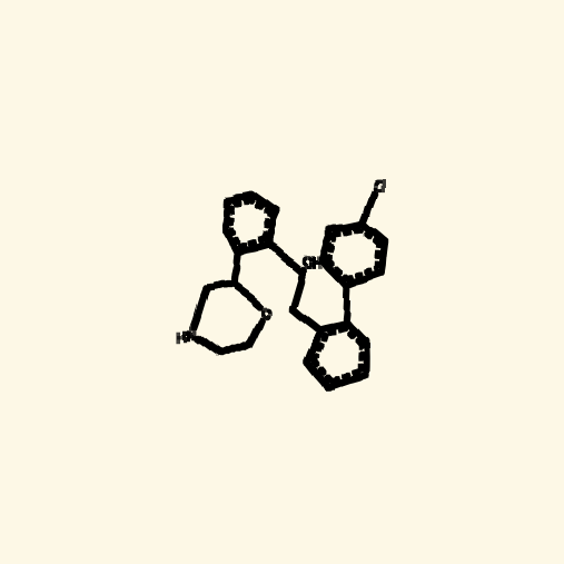 OC(Cc1ccccc1-c1ccc(Cl)cc1)c1ccccc1C1CNCCO1